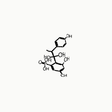 CC(c1ccc(O)cc1)C(O)(O)c1c(O)cc(O)cc1P(=O)(O)O